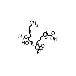 CCCC#CC[C@H](C)[C@@H](O)C=C[C@H]1CC(F)(F)C(=O)N1CCCc1ccc(C(=O)O)s1